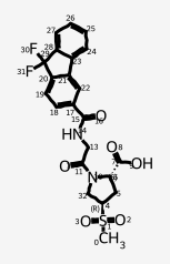 CS(=O)(=O)[C@@H]1C[C@@H](C(=O)O)N(C(=O)CNC(=O)c2ccc3c(c2)-c2ccccc2C3(F)F)C1